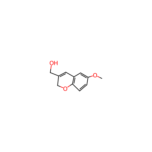 COc1ccc2c(c1)C=C(CO)CO2